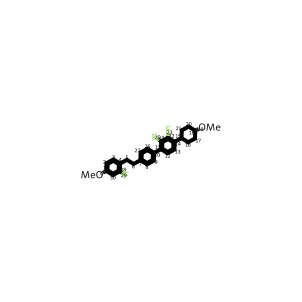 COc1ccc(CCc2ccc(-c3ccc(C4CCC(OC)CC4)c(F)c3F)cc2)c(F)c1